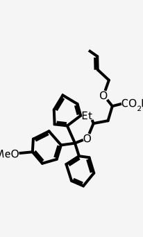 CC=CCOC(CC(CC)OC(c1ccccc1)(c1ccccc1)c1ccc(OC)cc1)C(=O)O